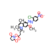 COc1cc2c(cc1/N=N/c1ccc([N+](=O)[O-])cc1Cl)C(C)=CC(C)(C)N2CCCC(=O)ON1C(=O)CCC1=O